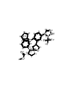 COC(=O)[C@H]1CC[C@@]2(CC(c3cc(N4C=NNN4C(F)(F)F)ccc3OC3CCCC3)CO2)[C@@H]1c1ccc(F)cc1